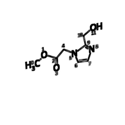 COC(=O)Cn1ccnc1CO